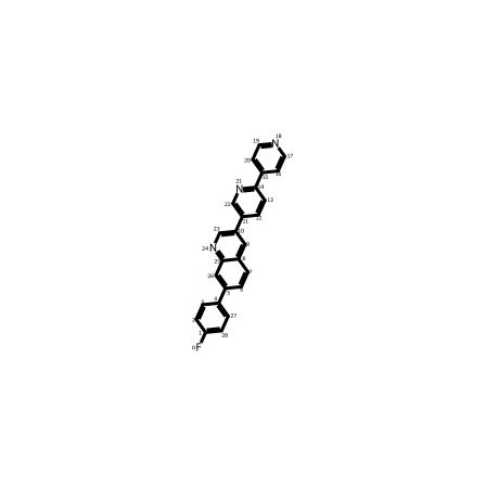 Fc1ccc(-c2ccc3cc(-c4ccc(-c5ccncc5)nc4)cnc3c2)cc1